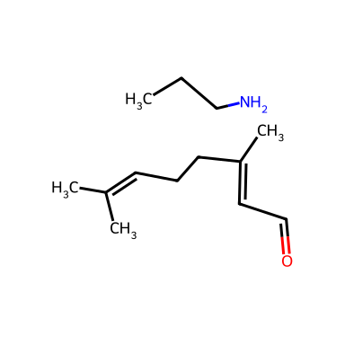 CC(C)=CCCC(C)=CC=O.CCCN